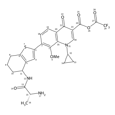 COc1c(-c2cc3c(s2)CCCC3NC(=O)[C@@H](C)N)ccc2c(=O)c(C(=O)OC(=O)C(F)(F)F)cn(C3CC3)c12